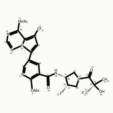 COc1ncc(-c2cc(C(F)(F)F)c3c(NC(C)=O)ncnn23)cc1C(=O)N[C@@H]1CN(C(=O)[C@@](C)(O)C(F)(F)F)C[C@@H]1F